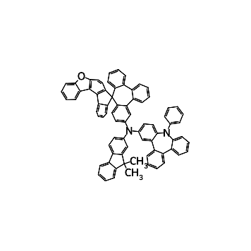 CC1(C)c2ccccc2-c2ccc(N(c3ccc4c(c3)-c3ccccc3-c3ccccc3N4c3ccccc3)c3ccc4c(c3)-c3ccccc3-c3ccccc3C43c4ccccc4-c4c3ccc3oc5ccccc5c43)cc21